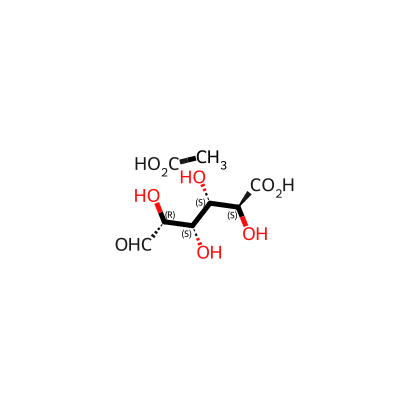 CC(=O)O.O=C[C@H](O)[C@@H](O)[C@H](O)[C@H](O)C(=O)O